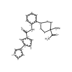 CNC1(C(N)=O)CCN(c2ccccc2NC(=O)c2csc(-c3ccsc3)n2)CC1